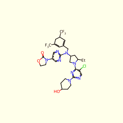 CCC1CC(N(CC2=CC(C(F)(F)F)CC(C(F)(F)F)=C2)c2ncc(N3CCOC3=O)cn2)CN1c1nc(N2CCC(O)CC2)ncc1Cl